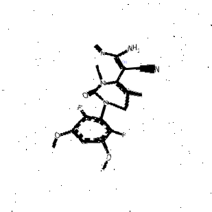 C=N/C(N)=C(/C#N)C1=C(C)CN(c2c(F)c(OC)cc(OC)c2F)C(=O)N1C